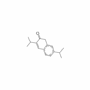 CC(C)C1=Cc2ccc(C(C)C)cc2CC1=O